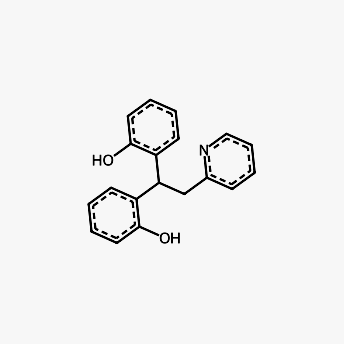 Oc1ccccc1C(Cc1ccccn1)c1ccccc1O